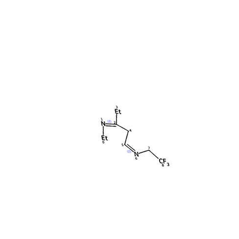 CC/N=C(/CC)C/C=N\CC(F)(F)F